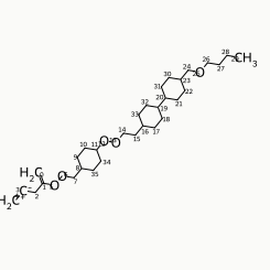 C=C(C[CH-][CH2+])OOCC1CCC(OOCCC2CCC(C3CCC(COCCCC)CC3)CC2)CC1